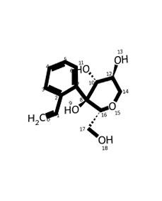 C=Cc1ccccc1[C@]1(O)[C@H](O)[C@@H](O)CO[C@@H]1CO